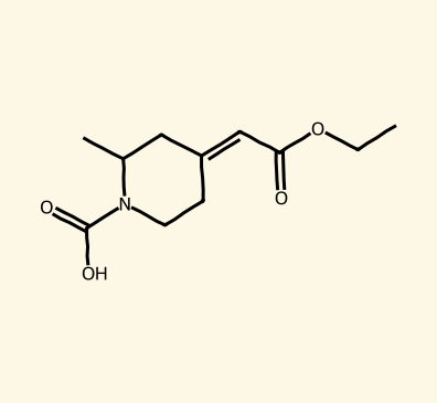 CCOC(=O)C=C1CCN(C(=O)O)C(C)C1